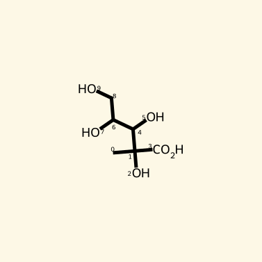 CC(O)(C(=O)O)C(O)C(O)CO